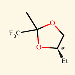 CC[C@@H]1COC(C)(C(F)(F)F)O1